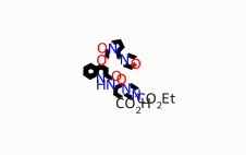 CCOC(=O)N1CCN(C(=O)C(CCC(=O)O)NC(=O)c2cc(OCC(=O)N3CCCC3CN3CCOCC3)c3ccccc3n2)CC1